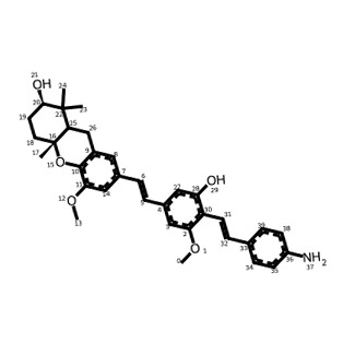 COc1cc(/C=C/c2cc3c(c(OC)c2)O[C@]2(C)CC[C@@H](O)C(C)(C)C2C3)cc(O)c1/C=C/c1ccc(N)cc1